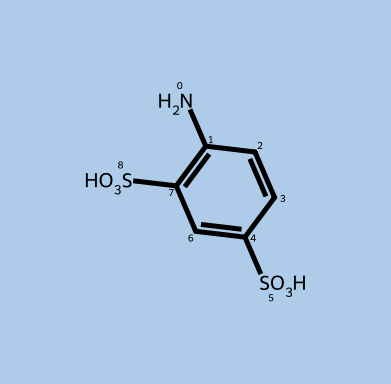 Nc1ccc(S(=O)(=O)O)cc1S(=O)(=O)O